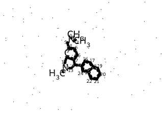 CN(C)Cc1ccc2c(c1)CN(C)CC2c1ccc2ccccc2c1